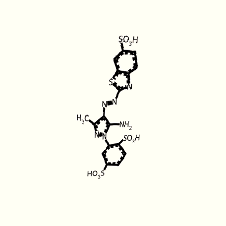 Cc1nn(-c2cc(S(=O)(=O)O)ccc2S(=O)(=O)O)c(N)c1/N=N/c1nc2ccc(S(=O)(=O)O)cc2s1